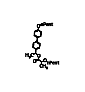 CCCCCOc1ccc(-c2ccc(C(C)OC(=O)C(C)OCCCCC)cc2)cc1